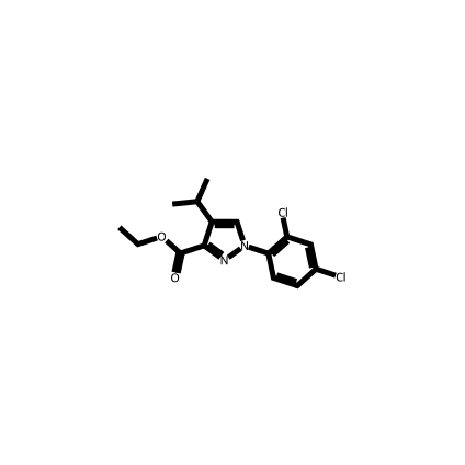 CCOC(=O)c1nn(-c2ccc(Cl)cc2Cl)cc1C(C)C